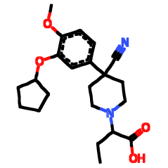 CCC(C(=O)O)N1CCC(C#N)(c2ccc(OC)c(OC3CCCC3)c2)CC1